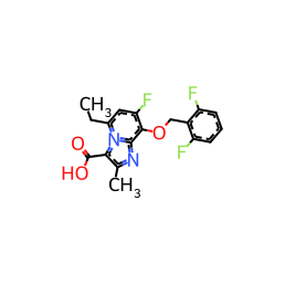 CCc1cc(F)c(OCc2c(F)cccc2F)c2nc(C)c(C(=O)O)n12